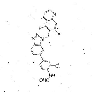 O=CNc1ccc(-c2ccc3nnn(Cc4c(F)cc5ncccc5c4F)c3n2)cc1Cl